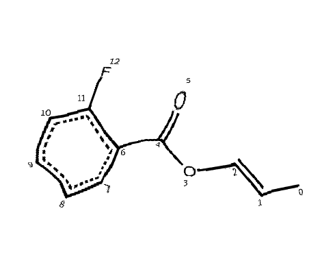 CC=COC(=O)c1ccccc1F